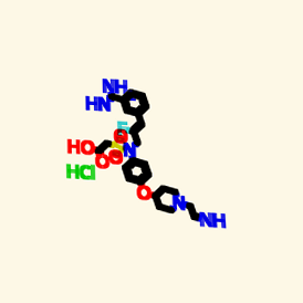 Cl.N=CCN1CCC(Oc2ccc(N(CC(F)=Cc3cccc(C(=N)N)c3)S(=O)(=O)CC(=O)O)cc2)CC1